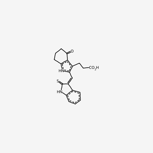 O=C(O)CCc1c(C=C2C(=S)Nc3ccccc32)[nH]c2c1C(=O)CCC2